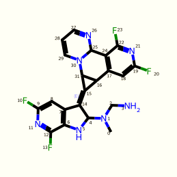 CN(CN)C1Nc2c(cc(F)nc2F)/C1=C1/C2c3cc(F)nc(F)c3C3N=CC=CN3C12